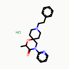 CC1OC2(CCN(CCc3ccccc3)CC2)CN(c2ccccn2)C1=O.Cl